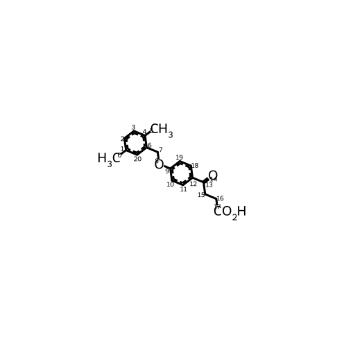 Cc1ccc(C)c(COc2ccc(C(=O)CCC(=O)O)cc2)c1